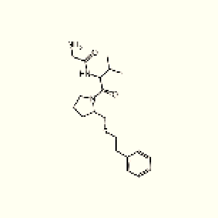 CC(C)C(NC(=O)CN)C(=O)N1CCCC1CSCCc1ccccc1